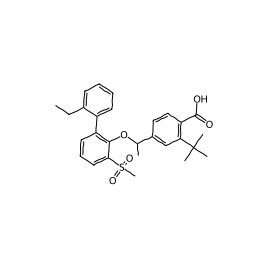 CCc1ccccc1-c1cccc(S(C)(=O)=O)c1OC(C)c1ccc(C(=O)O)c(C(C)(C)C)c1